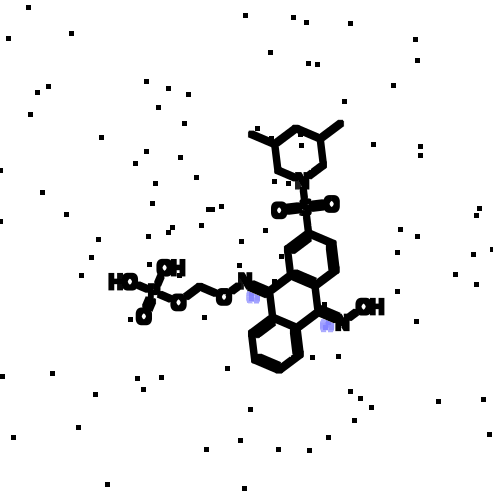 CC1CC(C)CN(S(=O)(=O)c2ccc3c(c2)/C(=N/OCOP(=O)(O)O)c2ccccc2/C3=N/O)C1